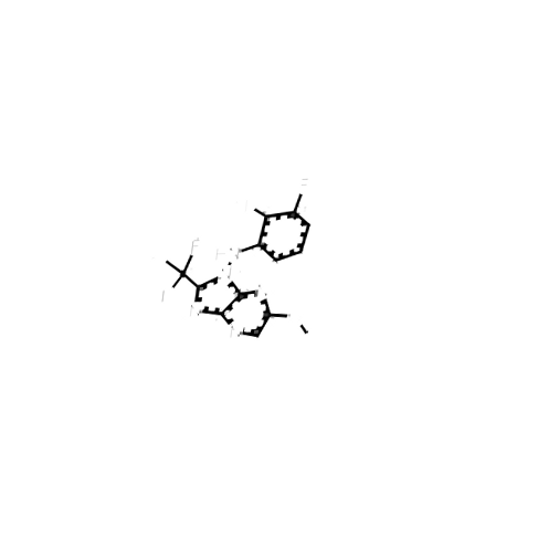 COc1cnc2nc(C(F)(F)F)n(Nc3cccc(F)c3F)c2n1